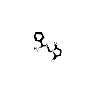 CC(SCN1C(=O)CCC1=O)c1ccccc1